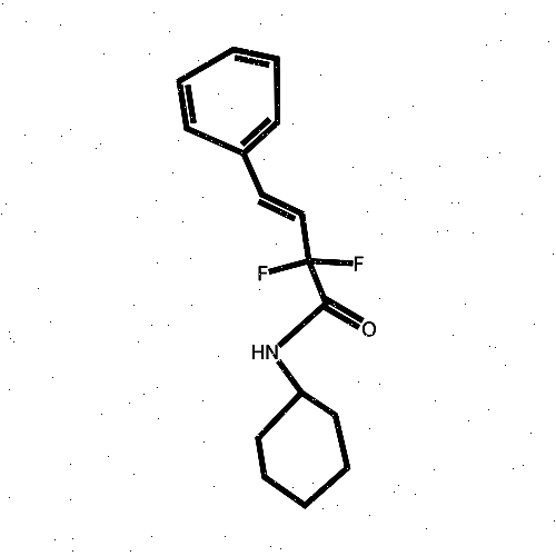 O=C(NC1CCCCC1)C(F)(F)C=Cc1ccccc1